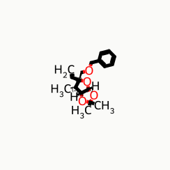 C=C[C@]1(COCc2ccccc2)O[C@@H]2OC(C)(C)O[C@@H]2[C@@H]1C